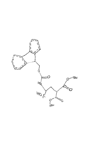 CC(C)(C)OC(=O)C(CC(NC(=O)OCC1c2ccccc2-c2ccccc21)C(=O)O)C(=O)OC(C)(C)C